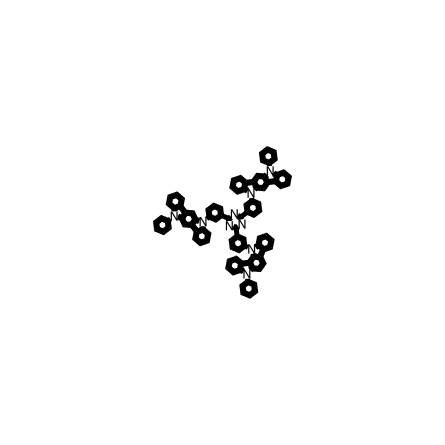 c1ccc(-n2c3ccccc3c3cc4c(cc32)c2ccccc2n4-c2cccc(-c3nc(-c4cccc(-n5c6ccccc6c6cc7c(cc65)c5ccccc5n7-c5ccccc5)c4)nc(-c4cccc(-n5c6ccccc6c6ccc7c(c8ccccc8n7-c7ccccc7)c65)c4)n3)c2)cc1